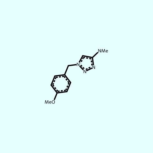 CNc1cn(Cc2ccc(OC)cc2)nn1